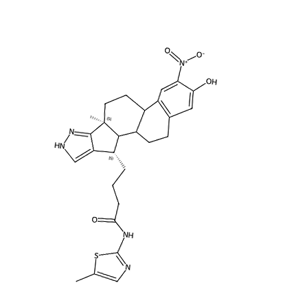 Cc1cnc(NC(=O)CCC[C@@H]2c3c[nH]nc3[C@@]3(C)CCC4c5cc([N+](=O)[O-])c(O)cc5CCC4C23)s1